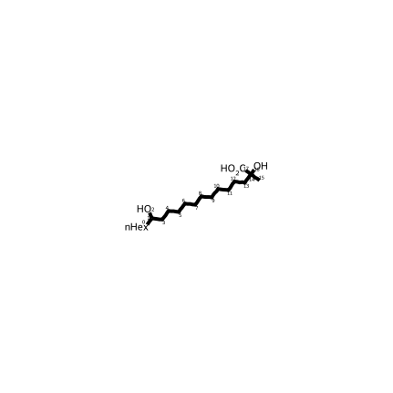 CCCCCCC(O)CCCCCCCCCCCC(C)(O)C(=O)O